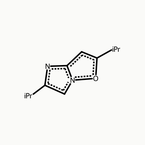 CC(C)c1cn2oc(C(C)C)cc2n1